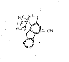 CC(C)(C)[NH][Zr]([CH3])([CH3])(=[SiH2])[c]1c(I)ccc2c1Cc1ccccc1-2.Cl.Cl